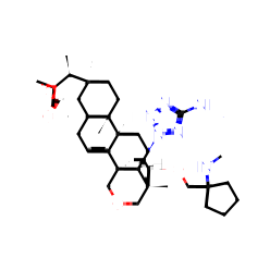 CNC1(CO[C@H]2[C@H](n3nnc(N)n3)C[C@@]34COC[C@]2(C)[C@@H]3CC[C@H]2C4=CC[C@@]3(C)[C@H](C(=O)O)[C@@](C)([C@H](C)C(C)C)CC[C@]23C)CCCC1